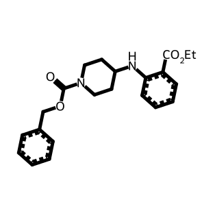 CCOC(=O)c1ccccc1NC1CCN(C(=O)OCc2ccccc2)CC1